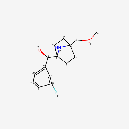 COCC12CCC([C@H](O)c3cccc(F)c3)(CC1)N2